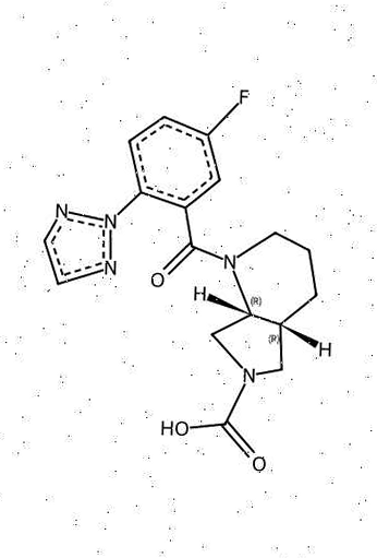 O=C(O)N1C[C@H]2CCCN(C(=O)c3cc(F)ccc3-n3nccn3)[C@H]2C1